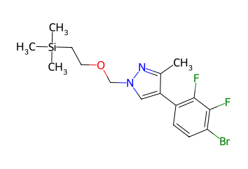 Cc1nn(COCC[Si](C)(C)C)cc1-c1ccc(Br)c(F)c1F